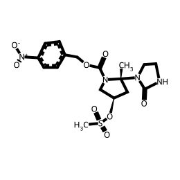 C[C@@]1(N2CCNC2=O)C[C@@H](OS(C)(=O)=O)CN1C(=O)OCc1ccc([N+](=O)[O-])cc1